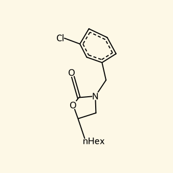 CCCCCCC1CN(Cc2cccc(Cl)c2)C(=O)O1